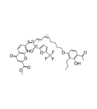 CCCc1c(OCCCC/C=C\C=C\[C@H](Sc2ccc3c(=O)cc(C(=O)OC)oc3c2)[C@H](O)c2ccc(C(F)(F)F)o2)ccc(C(C)=O)c1O